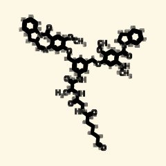 CNc1cc(OCc2cc(COc3cc4c(cc3OC)C(=O)N3c5ccccc5CC3C=N4)cc(NC(=O)C(C)NC(=O)CNC(=O)CCCCC=O)c2)c(OC)cc1C(=O)N1CCc2ccccc21